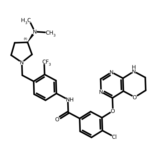 CN(C)[C@@H]1CCN(Cc2ccc(NC(=O)c3ccc(Cl)c(Oc4ncnc5c4OCCN5)c3)cc2C(F)(F)F)C1